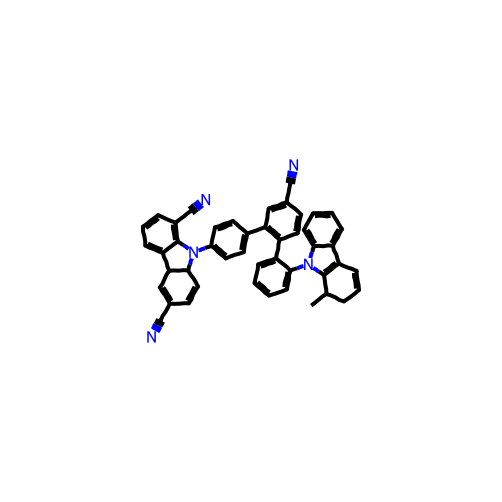 CC1CC=Cc2c1n(-c1ccccc1-c1ccc(C#N)cc1-c1ccc(N3c4c(C#N)cccc4C4C=C(C#N)C=CC43)cc1)c1ccccc21